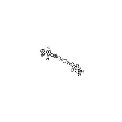 O=C1CCC(N2C(=O)c3ccc(N4CC5(CCC(N6CCC(n7cc8cc(NC(=O)c9cnn%10cccnc9%10)c(OCC9CC9)cc8n7)CC6)CC5)C4)cc3C2=O)C(=O)N1